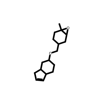 CC12CCC(COC3CCC4C=CCC4C3)CC1O2